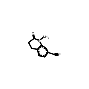 N#Cc1ccc2c(c1)N(N)C(=O)CC2